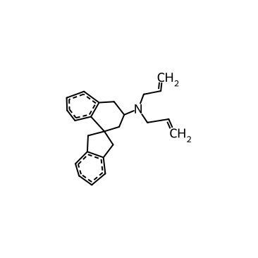 C=CCN(CC=C)C1Cc2ccccc2C2(Cc3ccccc3C2)C1